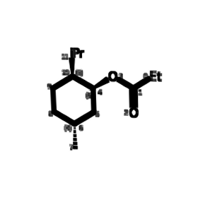 CCC(=O)O[C@H]1C[C@H](C)CC[C@H]1C(C)C